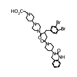 O=C(O)CN1CCC(N2CCN(C(=O)C(CC(=O)N3CCC(N4Cc5ccccc5NC4=O)CC3)Cc3ccc(Br)c(Br)c3)CC2)CC1